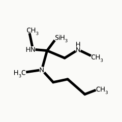 CCCCN(C)C([SiH3])(CNC)NC